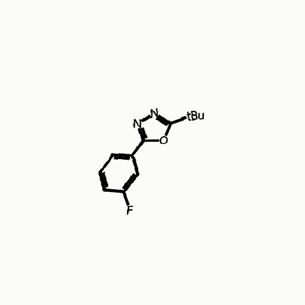 CC(C)(C)c1nnc(-c2cccc(F)c2)o1